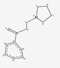 O=C(CCN1C[CH]CC1)c1ccccc1